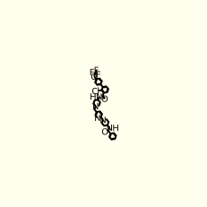 O=C(NC1CCN(c2ccc(CN3CCC(NC(=O)c4cccc(-c5ccc(OC(F)(F)F)cc5)c4Cl)CC3)cn2)CC1)c1ccccc1